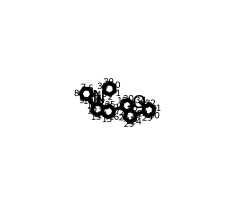 c1ccc(-n2c3ccccc3c3ccc4ccc(-c5ccc6c7c(cccc57)-c5ccccc5O6)cc4c32)cc1